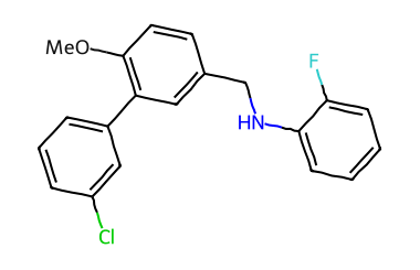 COc1ccc(CNc2ccccc2F)cc1-c1cccc(Cl)c1